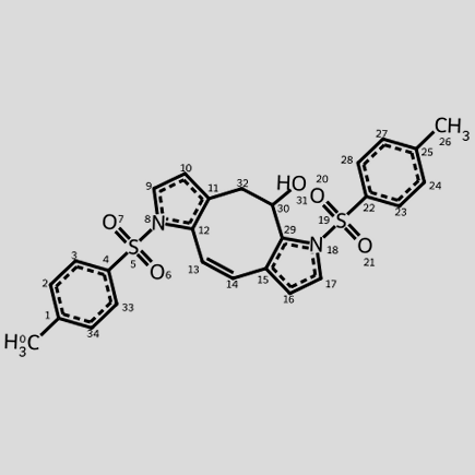 Cc1ccc(S(=O)(=O)n2ccc3c2/C=C\c2ccn(S(=O)(=O)c4ccc(C)cc4)c2C(O)C3)cc1